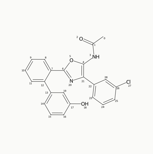 CC(=O)Nc1oc(-c2ccccc2-c2cccc(O)c2)nc1-c1cccc(Cl)c1